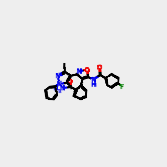 Cc1nn(-c2ccccc2)c(C)c1-c1noc(NC(=O)c2ccc(F)cc2)c1-c1ccccc1C(N)=O